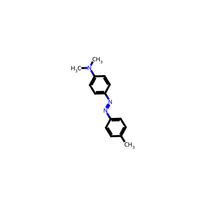 Cc1ccc(N=Nc2ccc(N(C)C)cc2)cc1